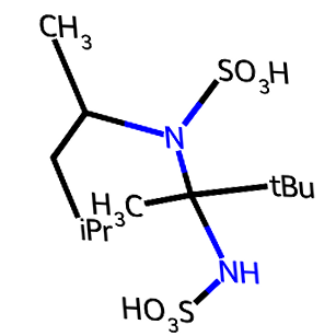 CC(C)CC(C)N(C(C)(NS(=O)(=O)O)C(C)(C)C)S(=O)(=O)O